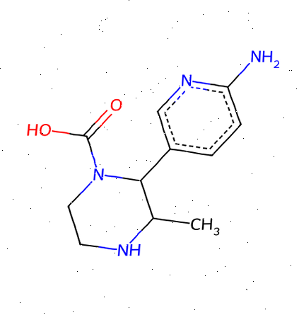 CC1NCCN(C(=O)O)C1c1ccc(N)nc1